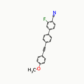 COc1ccc(C#Cc2ccc(-c3ccc(C#N)c(F)c3)cc2)cc1